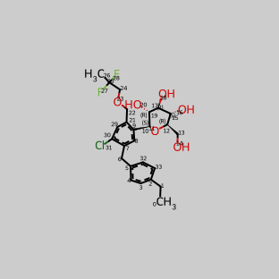 CCc1ccc(Cc2cc([C@@H]3O[C@H](CO)[C@@H](O)[C@H](O)[C@H]3O)c(COCC(C)(F)F)cc2Cl)cc1